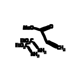 C=CC(=O)OC.CCOC(N)=O.CCOC(N)=O